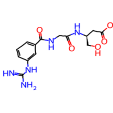 N=C(N)Nc1cccc(C(=O)NCC(=O)N[C@H](CO)CC(=O)O)c1